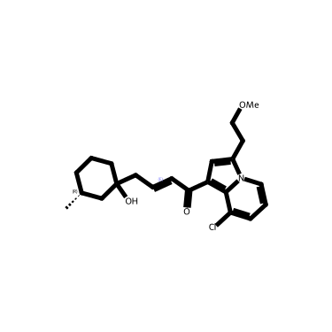 COCCc1cc(C(=O)/C=C/CC2(O)CCC[C@@H](C)C2)c2c(Cl)cccn12